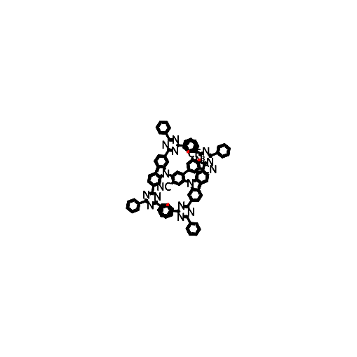 N#Cc1cc(-c2cc(-n3c4cc(-c5nc(-c6ccccc6)nc(-c6ccccc6)n5)ccc4c4ccc(-c5nc(-c6ccccc6)nc(-c6ccccc6)n5)cc43)c(C#N)cc2-n2c3cc(-c4nc(-c5ccccc5)nc(-c5ccccc5)n4)ccc3c3ccc(-c4nc(-c5ccccc5)nc(-c5ccccc5)n4)cc32)cc(C(F)(F)F)c1